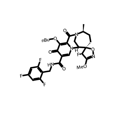 CCCCOc1c2n(cc(C(=O)NCc3c(F)cc(F)cc3F)c1=O)[C@@H]1CN(C2=O)[C@@H](C)CC[C@@]12ON=C(OC)[C@H]2F